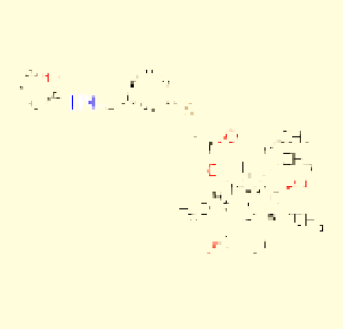 C=C[C@]1(C)C[C@@H](OC(=O)CSc2cccc(CNCc3ccco3)c2)[C@]2(C)C(C)CCC3(CCC(=O)C32)[C@@H](C)[C@@H]1O